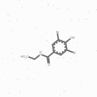 O=C(O)CNC(=O)c1cc(Br)c(O)c(Br)c1